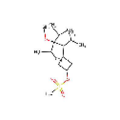 CC(C)C(C1CC(OS(C)(=O)=O)C1)C(O[SiH3])(C(C)C)C(C)C